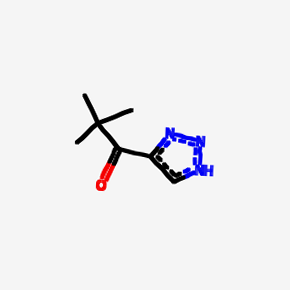 CC(C)(C)C(=O)c1c[nH]nn1